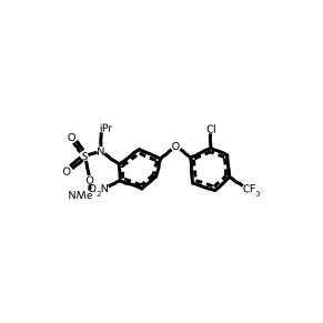 CNOS(=O)(=O)N(c1cc(Oc2ccc(C(F)(F)F)cc2Cl)ccc1[N+](=O)[O-])C(C)C